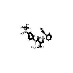 N#CC1CCCC[C@@H]1N/C=C(\C(=N)Nc1ccc([S+]([O-])C(F)(F)F)cc1)C(N)=O